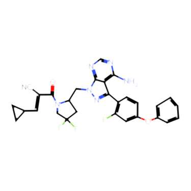 N#CC(=CC1CC1)C(=O)N1CC(F)(F)CC1Cn1nc(-c2ccc(Oc3ccccc3)cc2F)c2c(N)ncnc21